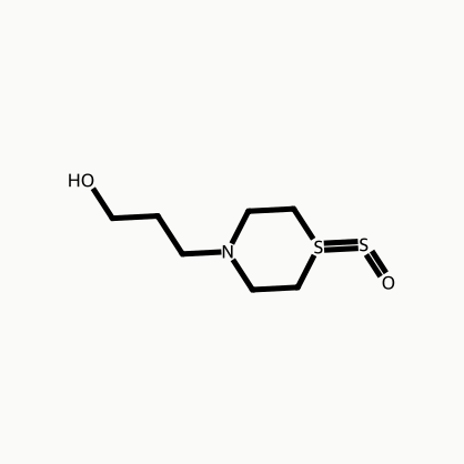 O=S=S1CCN(CCCO)CC1